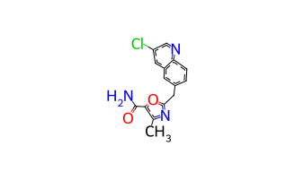 Cc1nc(Cc2ccc3ncc(Cl)cc3c2)oc1C(N)=O